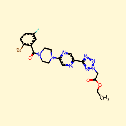 CCOC(=O)Cn1nnc(-c2cnc(N3CCN(C(=O)c4cc(F)ccc4Br)CC3)cn2)n1